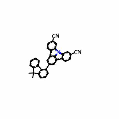 CC1(C)c2ccccc2-c2c(-c3cc4c5ccc(C#N)cc5n5c6cc(C#N)ccc6c(c3)c45)cccc21